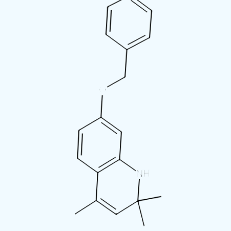 CC1=CC(C)(C)Nc2cc(OCc3ccccc3)ccc21